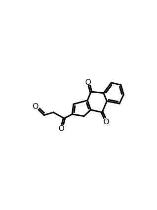 O=CCC(=O)C1=CC2=C(C1)C(=O)c1ccccc1C2=O